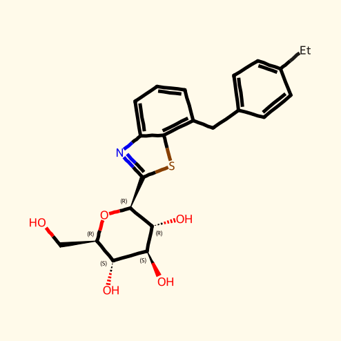 CCc1ccc(Cc2cccc3nc([C@@H]4O[C@H](CO)[C@@H](O)[C@H](O)[C@H]4O)sc23)cc1